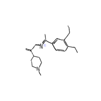 C=C(C/N=C(\C)c1ccc(CC)c(CC)c1)C1CCN(C)CC1